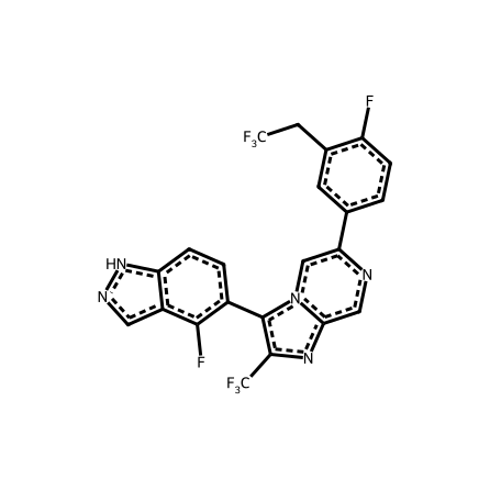 Fc1ccc(-c2cn3c(-c4ccc5[nH]ncc5c4F)c(C(F)(F)F)nc3cn2)cc1CC(F)(F)F